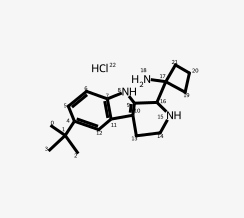 CC(C)(C)c1ccc2[nH]c3c(c2c1)CCNC3C1(N)CCC1.Cl